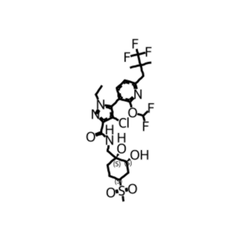 CCn1nc(C(=O)NC[C@@]2(O)CC[C@H](S(C)(=O)=O)C[C@@H]2O)c(Cl)c1-c1ccc(CC(C)(C)C(F)(F)F)nc1OC(F)F